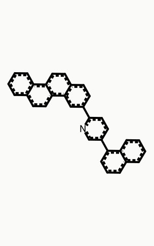 c1ccc2c(-c3ccc(-c4ccc5ccc6c7ccccc7ccc6c5c4)nc3)cccc2c1